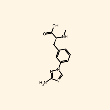 CN[C@@H](Cc1cccc(-n2cnc(N)n2)c1)C(=O)O